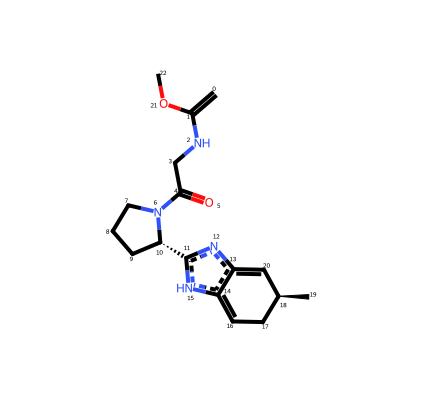 C=C(NCC(=O)N1CCC[C@H]1c1nc2c([nH]1)=CC[C@H](C)C=2)OC